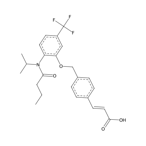 CCCC(=O)N(c1ccc(C(F)(F)F)cc1OCc1ccc(/C=C/C(=O)O)cc1)C(C)C